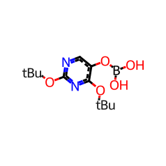 CC(C)(C)Oc1ncc(OB(O)O)c(OC(C)(C)C)n1